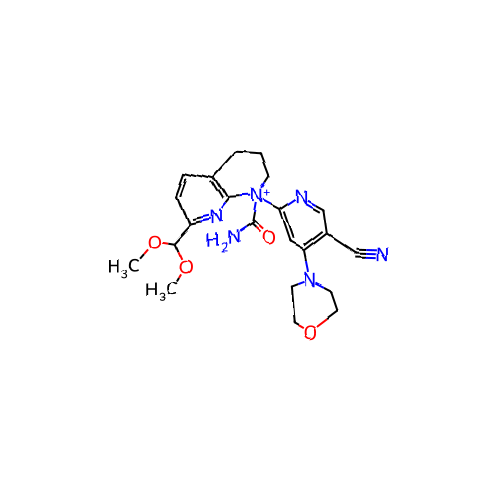 COC(OC)c1ccc2c(n1)[N+](C(N)=O)(c1cc(N3CCOCC3)c(C#N)cn1)CCC2